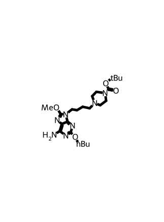 CCCCOc1nc(N)c2nc(OC)n(CCCCN3CCN(C(=O)OC(C)(C)C)CC3)c2n1